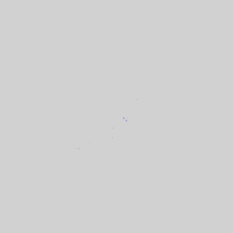 Cc1csc2c1Oc1ccccc1N2c1c(C)cc(C(C)(C)C)cc1C